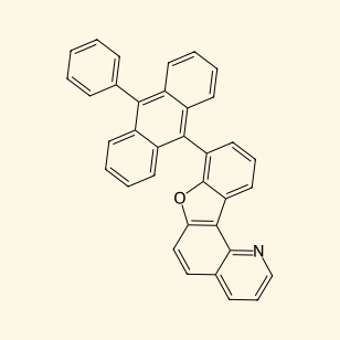 c1ccc(-c2c3ccccc3c(-c3cccc4c3oc3ccc5cccnc5c34)c3ccccc23)cc1